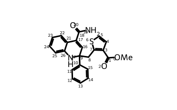 COC(=O)c1ccsc1CC1(c2ccccc2)C=C(C(N)=O)c2ccccc2N1